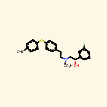 O=Cc1ccc(Sc2ccc(CCN(C[C@H](O)c3cccc(Cl)c3)C(=O)O)cc2)cc1